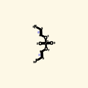 O=S(=O)(O/C=C/F)O/C=C/F